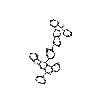 O=P(c1ccccc1)(c1ccccc1)c1ccc2cc(-c3ccc(-c4c5c(cc6c(-c7ccccc7)nc7ccccc7c46)oc4ccccc45)cc3)ccc2c1